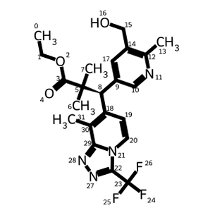 CCOC(=O)C(C)(C)[C@@H](c1cnc(C)c(CO)c1)c1ccn2c(C(F)(F)F)nnc2c1C